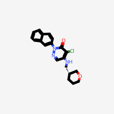 O=c1c(Cl)c(NC[C@H]2CCCOC2)cnn1-c1ccc2ccccc2c1